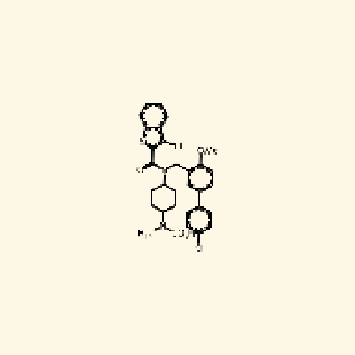 COc1ccc(-c2ccc(Cl)cc2)cc1CN(C(=O)c1sc2ccccc2c1Cl)C1CCC(N(C)C(=O)O)CC1